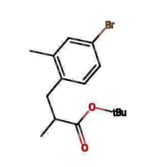 Cc1cc(Br)ccc1CC(C)C(=O)OC(C)(C)C